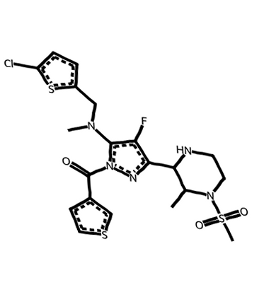 CC1C(c2nn(C(=O)c3ccsc3)c(N(C)Cc3ccc(Cl)s3)c2F)NCCN1S(C)(=O)=O